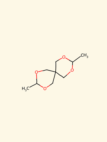 CC1OCC2(CO1)COC(C)OC2